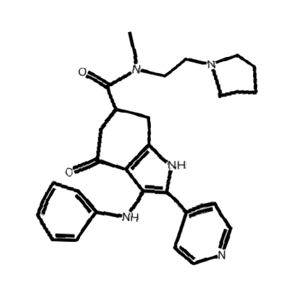 CN(CCN1CCCC1)C(=O)C1CC(=O)c2c([nH]c(-c3ccncc3)c2Nc2ccccc2)C1